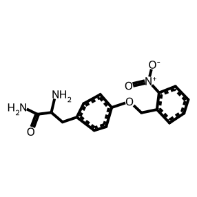 NC(=O)C(N)Cc1ccc(OCc2ccccc2[N+](=O)[O-])cc1